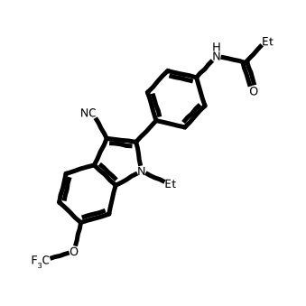 CCC(=O)Nc1ccc(-c2c(C#N)c3ccc(OC(F)(F)F)cc3n2CC)cc1